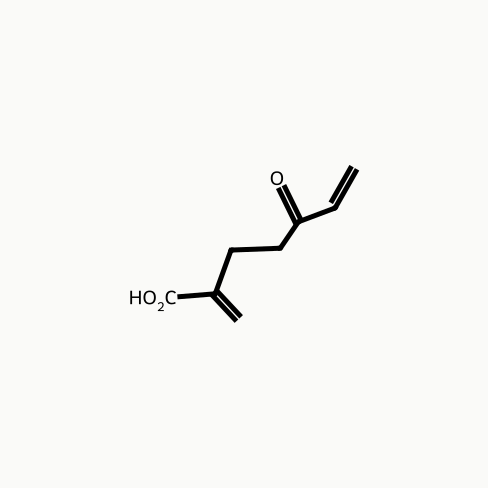 C=CC(=O)CCC(=C)C(=O)O